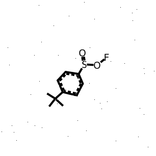 CC(C)(C)c1ccc(S(=O)OF)cc1